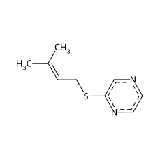 CC(C)=CCSc1cnccn1